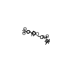 CC1=NN(C)C(C(=O)N2CCC(COc3ccc(-c4ccc(S(C)(=O)=O)cc4)nc3)CC2)C1